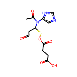 CC(=O)N(c1cnc[nH]1)C(CC=O)SOC(=O)CCC(=O)O